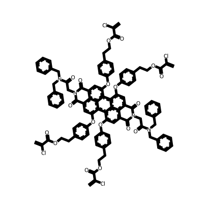 C=C(Cl)C(=O)OCCc1ccc(Oc2cc3c4c(cc(Oc5ccc(CCOC(=O)C(=C)Cl)cc5)c5c6c(Oc7ccc(CCOC(=O)C(=C)Cl)cc7)cc7c8c(cc(Oc9ccc(CCOC(=O)C(=C)Cl)cc9)c(c2c45)c86)C(=O)N(CC(=O)N(Cc2ccccc2)Cc2ccccc2)C7=O)C(=O)N(CC(=O)N(Cc2ccccc2)Cc2ccccc2)C3=O)cc1